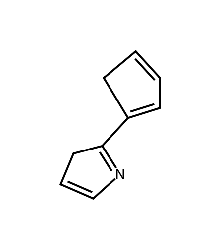 C1=CCC(C2=NC=CC2)=C1